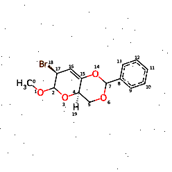 COC1O[C@@H]2COC(c3ccccc3)OC2=C[C@@H]1Br